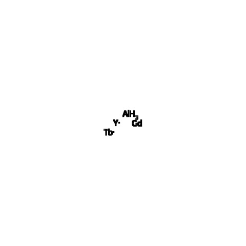 [AlH3].[Gd].[Tb].[Y]